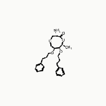 C[C@@H]1OC(=O)[C@@H](N)COC[C@H](OCCCc2ccccc2)[C@H]1OCCCc1ccccc1